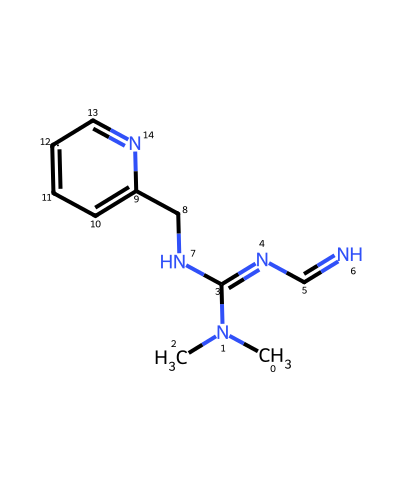 CN(C)C(=NC=N)NCc1cc[c]cn1